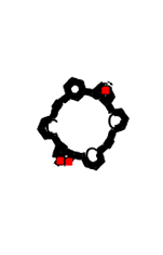 C[Si](C)(C)c1c2cccc1c1cccc(c#cc3cccc(c3)c3cccc(c3[Si](C)(C)C)c3cccc(c#cc4cccc2c4)c3)c1